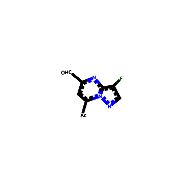 CC(=O)c1cc(C=O)nc2c(F)cnn12